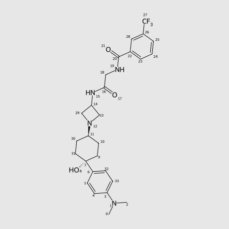 CN(C)c1ccc([C@]2(O)CC[C@H](N3CC(NC(=O)CNC(=O)c4cccc(C(F)(F)F)c4)C3)CC2)cc1